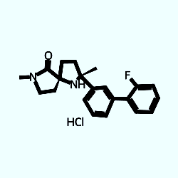 CN1CC[C@]2(CC[C@](C)(c3cccc(-c4ccccc4F)c3)N2)C1=O.Cl